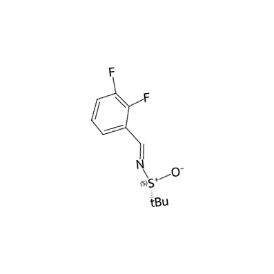 CC(C)(C)[S@@+]([O-])N=Cc1cccc(F)c1F